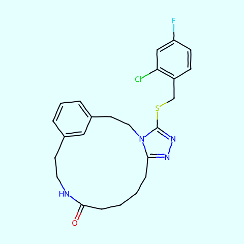 O=C1CCCCc2nnc(SCc3ccc(F)cc3Cl)n2CCc2cccc(c2)CCN1